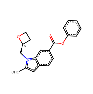 O=Cc1cc2ccc(C(=O)Oc3ccccc3)cc2n1C[C@@H]1CCO1